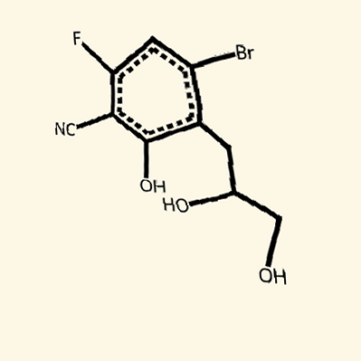 N#Cc1c(F)cc(Br)c(CC(O)CO)c1O